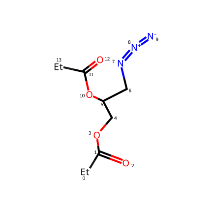 CCC(=O)OCC(CN=[N+]=[N-])OC(=O)CC